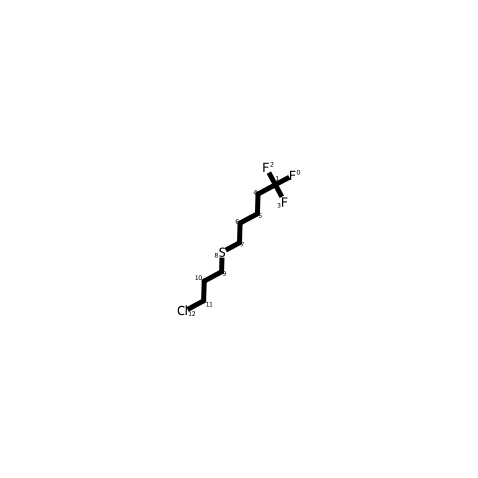 FC(F)(F)CCCCSCCCCl